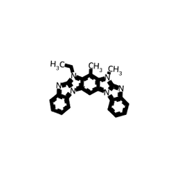 CCn1c2c(C)c3c(cc2n2c4ccccc4nc12)n1c2ccccc2nc1n3C